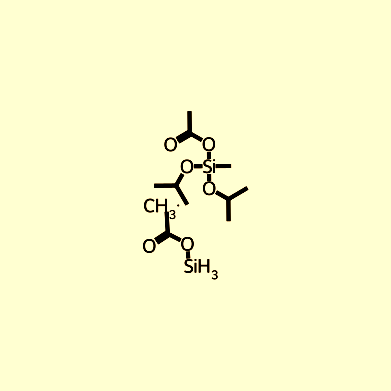 CC(=O)O[SiH3].CC(=O)O[Si](C)(OC(C)C)OC(C)C.[CH3]